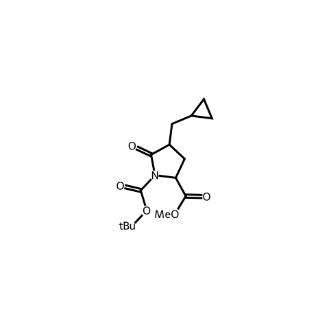 COC(=O)C1CC(CC2CC2)C(=O)N1C(=O)OC(C)(C)C